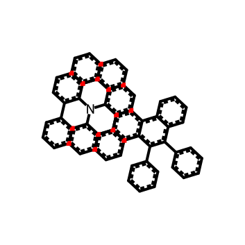 c1ccc(-c2cccc(-c3ccccc3)c2N(c2ccccc2-c2ccc3c(c2)c(-c2ccccc2)c(-c2ccccc2)c2ccccc23)c2c(-c3ccccc3)cccc2-c2ccccc2)cc1